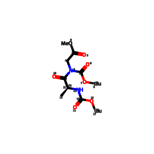 COC(=O)CN(C(=O)OC(C)(C)C)C(=O)[C@H](C)NC(=O)OC(C)(C)C